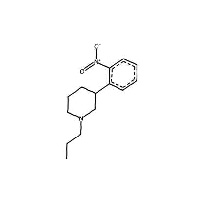 CCCN1CCCC(c2ccccc2[N+](=O)[O-])C1